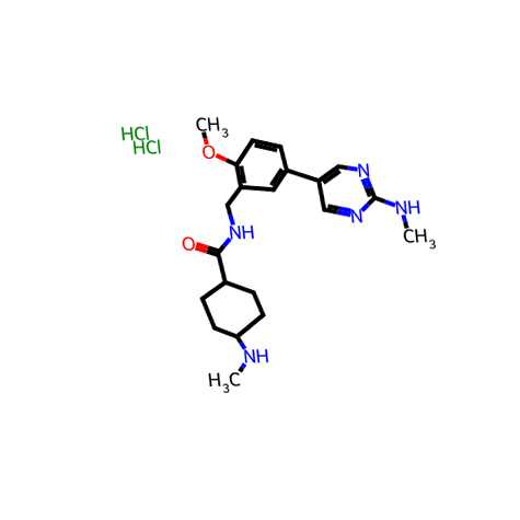 CNc1ncc(-c2ccc(OC)c(CNC(=O)C3CCC(NC)CC3)c2)cn1.Cl.Cl